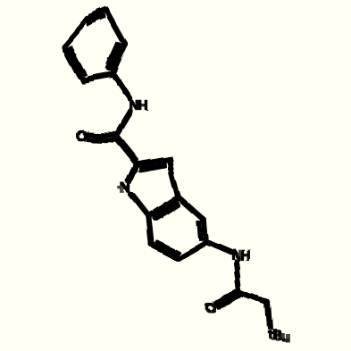 CC(C)(C)CC(=O)Nc1ccc2c(c1)C=C(C(=O)Nc1ccccc1)[N]2